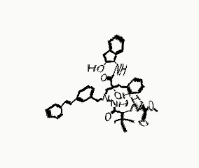 COC(=O)N[C@H](C(=O)NN(Cc1cccc(C=Cc2ccccc2)c1)C[C@](O)(Cc1ccccc1)C(=O)N[C@H]1c2ccccc2C[C@H]1O)C(C)(C)C